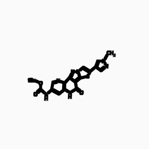 Cn1cc(-c2cn3nc4c5ncc(NC(=O)OC(C)(C)C)cc5[nH]c(=O)c4c3s2)cn1